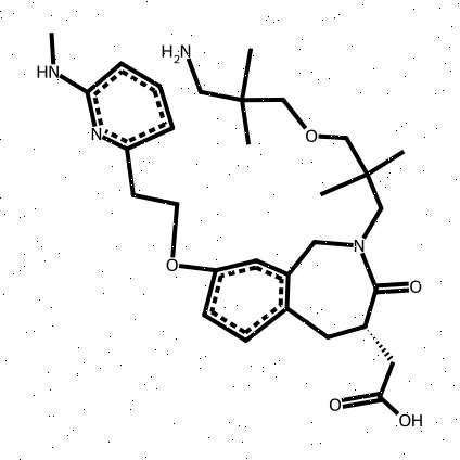 CNc1cccc(CCOc2ccc3c(c2)CN(CC(C)(C)COCC(C)(C)CN)C(=O)[C@H](CC(=O)O)C3)n1